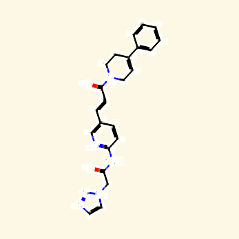 O=C(Cn1ccnn1)Nc1ccc(/C=C/C(=O)N2CC=C(c3ccccc3)CC2)cn1